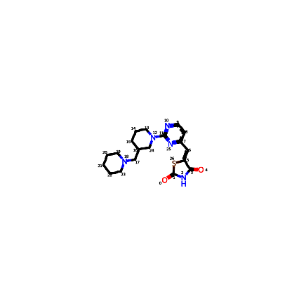 O=C1NC(=O)C(=Cc2ccnc(N3CCCC(CN4CCCCC4)C3)n2)S1